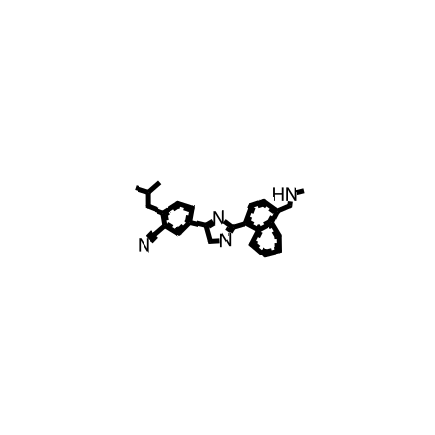 CNCc1ccc(C2=NCC(c3ccc(CC(C)C)c(C#N)c3)=N2)c2ccccc12